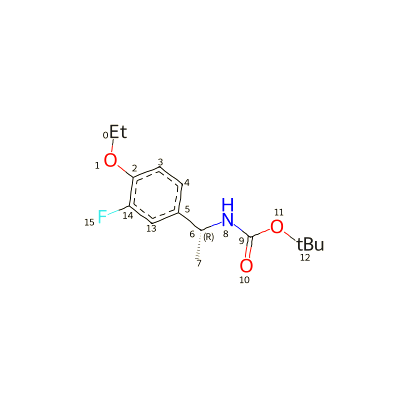 CCOc1ccc([C@@H](C)NC(=O)OC(C)(C)C)cc1F